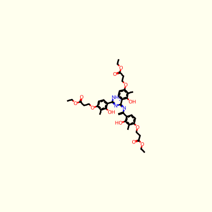 C=C(/N=C(\N=C(/N)c1ccc(OCCC(=O)OCC)c(C)c1O)c1ccc(OCCC(=O)OCC)c(C)c1O)c1ccc(OCCC(=O)OCC)c(C)c1O